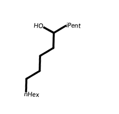 CCCCCCCCCCC(O)C(C)CCC